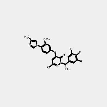 COc1cc(Oc2cc(Cl)nn([C@@H](C)c3cc(F)c(F)c(F)c3)c2=O)ccc1-n1cnc(C)c1